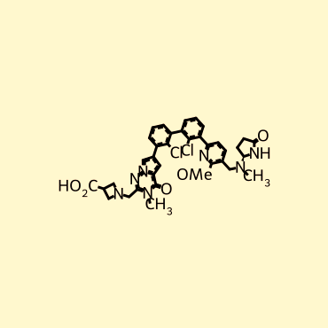 COc1nc(-c2cccc(-c3cccc(-c4cc5c(=O)n(C)c(CN6CC(C(=O)O)C6)nn5c4)c3Cl)c2Cl)ccc1CN(C)[C@H]1CCC(=O)N1